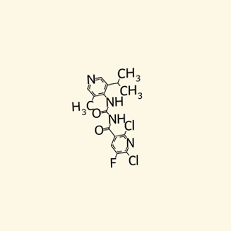 Cc1cncc(C(C)C)c1NC(=O)NC(=O)c1cc(F)c(Cl)nc1Cl